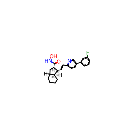 O=C(NO)[C@H]1C[C@H]2CCCC[C@H]2[C@@H]1C=Cc1ccc(-c2cccc(F)c2)cn1